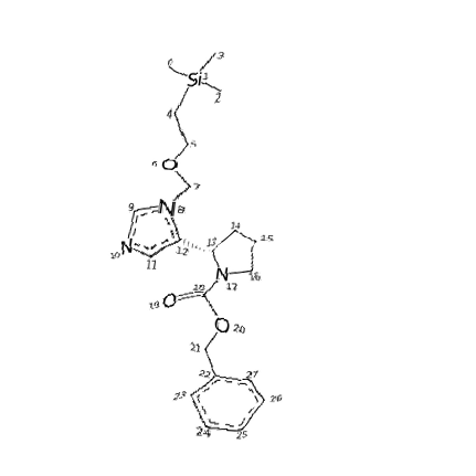 C[Si](C)(C)CCOCn1cncc1[C@@H]1CCCN1C(=O)OCc1ccccc1